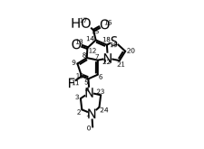 CN1CCN(c2cc3c(cc2F)c(=O)c(C(=O)O)c2sccn23)CC1